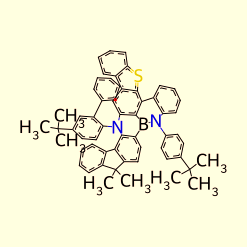 CC(C)(C)c1ccc(N2B3c4ccc5c(c4N(c4ccc(C(C)(C)C)cc4-c4ccccc4)c4cc6c(sc7ccccc76)c(c43)-c3ccccc32)-c2ccccc2C5(C)C)cc1